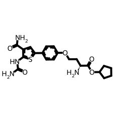 NC(=O)Nc1sc(-c2ccc(OCC[C@@H](N)C(=O)OC3CCCC3)cc2)cc1C(N)=O